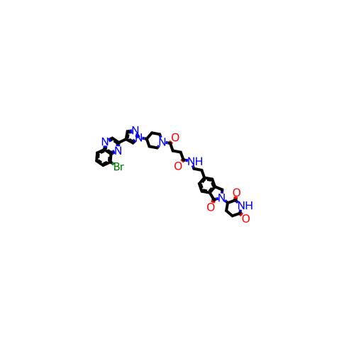 O=C(CCC(=O)N1CCC(n2cc(-c3cnc4cccc(Br)c4n3)cn2)CC1)NCCc1ccc2c(c1)CN(C1CCC(=O)NC1=O)C2=O